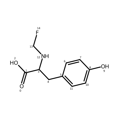 O=C(O)C(Cc1ccc(O)cc1)NCF